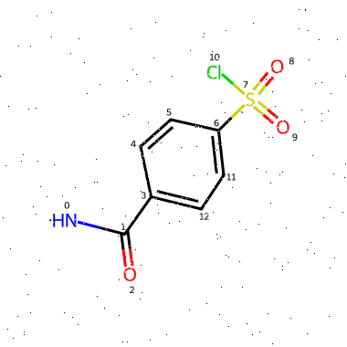 [NH]C(=O)c1ccc(S(=O)(=O)Cl)cc1